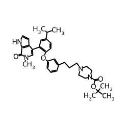 CC(C)c1ccc(Oc2cccc(CCCN3CCN(C(=O)OC(C)(C)C)CC3)c2)c(-c2cn(C)c(=O)c3[nH]ccc23)c1